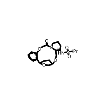 CC(C)S(=O)(=O)N[C@H]1CCCN2C(=O)COc3ccccc3C3CCC(CC3)OCC12